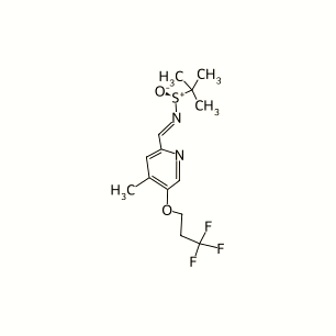 Cc1cc(C=N[S@@+]([O-])C(C)(C)C)ncc1OCCC(F)(F)F